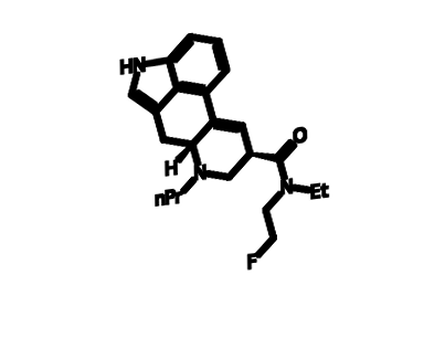 CCCN1C[C@H](C(=O)N(CC)CCF)C=C2c3cccc4[nH]cc(c34)C[C@H]21